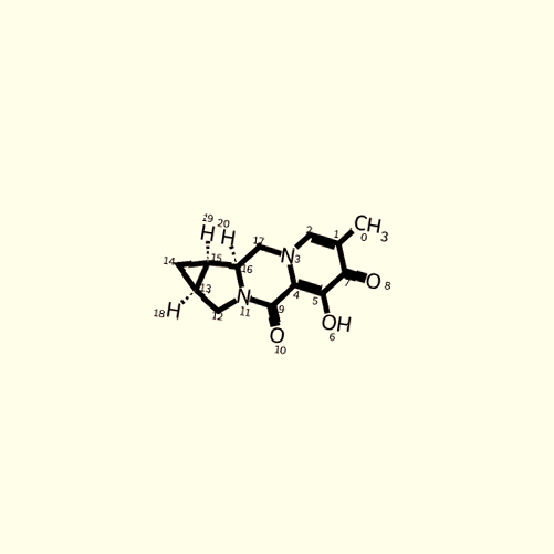 Cc1cn2c(c(O)c1=O)C(=O)N1C[C@H]3C[C@H]3[C@H]1C2